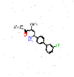 COC(=O)C(CC(N)c1ccc(-c2cccc(Cl)c2)cc1)OC